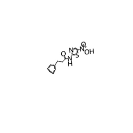 O=C(CCc1ccccc1)Nc1ncc([N+](=O)O)s1